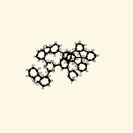 c1ccc(-c2cccc(-c3nc(-c4cccc5oc6ccc(-c7cccc(-c8cccc9c8C8(c%10ccccc%10-c%10ccccc%108)c8ccccc8-9)c7)cc6c45)nc(-c4cccc5sc6ccccc6c45)n3)c2)cc1